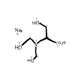 O=C(O)C(CO)N(CO)CO.[Na]